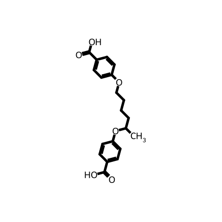 CC(CCCCOc1ccc(C(=O)O)cc1)Oc1ccc(C(=O)O)cc1